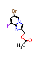 CC(=O)OCc1cn2cc(Br)cc(I)c2n1